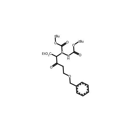 CCOC(=O)C(C(=O)CCOCc1ccccc1)N(NC(=O)OC(C)(C)C)C(=O)OC(C)(C)C